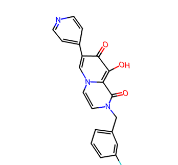 O=c1c(-c2ccncc2)cn2ccn(Cc3cccc(F)c3)c(=O)c2c1O